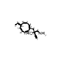 C#CC(O)(CN)CC1=C/C=C\C(=C\C)\C=C/C=C\1